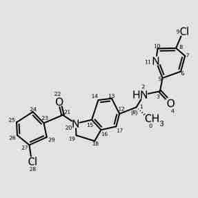 C[C@@H](NC(=O)c1ccc(Cl)cn1)c1ccc2c(c1)CCN2C(=O)c1cccc(Cl)c1